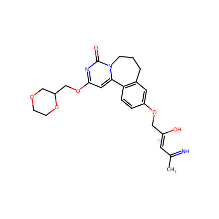 CC(=N)/C=C(\O)COc1ccc2c(c1)CCCn1c-2cc(OCC2COCCO2)nc1=O